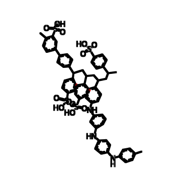 Cc1ccc(Nc2ccc(Nc3cccc(Nc4ccc(C(CC(C)c5ccc(S(=O)(=O)O)cc5)CC(CC(c5ccc(-c6ccc(C)c(S(=O)(=O)O)c6)cc5)c5ccc(S(=O)(=O)O)cc5)c5ccc(S(=O)(=O)O)cc5)cc4)c3)cc2)cc1